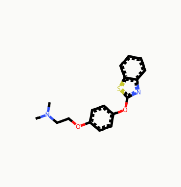 CN(C)CCOc1ccc(Oc2nc3ccccc3s2)cc1